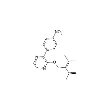 C=C(C)C(COc1nccnc1-c1ccc([N+](=O)[O-])cc1)=C(C)C